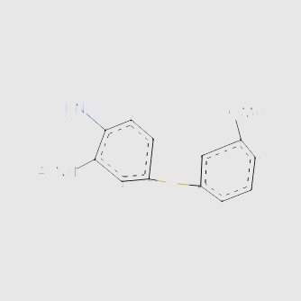 COc1cccc(Sc2ccc(N)c(NC(C)=O)c2)c1